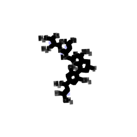 CC/C=C/C(=N\C(C)/C(C)=C(/C)CC)Nc1nc(N)c2cc(F)cc(-c3c(C)cc(C(C)/C=C(/C)CC)cc3C)c2n1